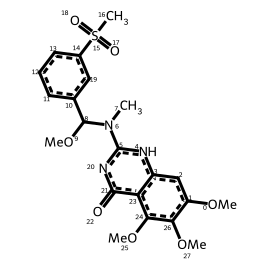 COc1cc2[nH]c(N(C)C(OC)c3cccc(S(C)(=O)=O)c3)nc(=O)c2c(OC)c1OC